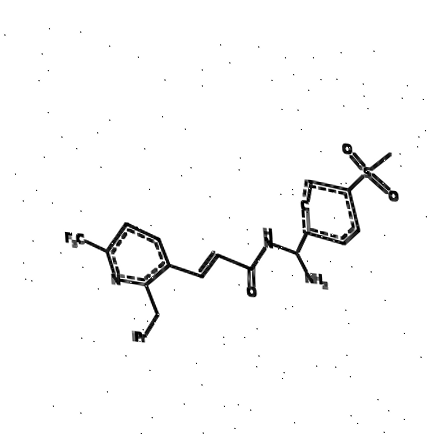 CC(C)Cc1nc(C(F)(F)F)ccc1C=CC(=O)NC(N)c1ccc(S(C)(=O)=O)cc1